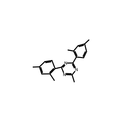 Cc1ccc(-c2nc(C)nc(-c3ccc(C)cc3C)n2)c(C)c1